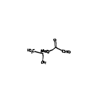 COC(=O)C=O.O=C(O)CO